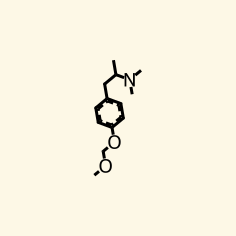 COCOc1ccc(CC(C)N(C)C)cc1